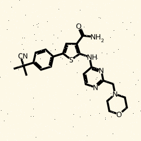 CC(C)(C#N)c1ccc(-c2cc(C(N)=O)c(Nc3ccnc(CN4CCOCC4)n3)s2)cc1